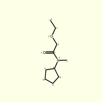 [CH2]COCC(=O)N(C)C1CCCC1